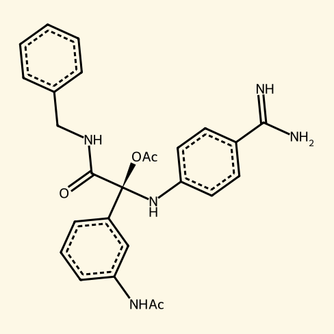 CC(=O)Nc1cccc([C@](Nc2ccc(C(=N)N)cc2)(OC(C)=O)C(=O)NCc2ccccc2)c1